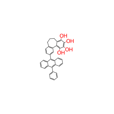 Oc1c(O)c(O)c2c(c1O)CCCc1ccc(-c3c4ccccc4c(-c4ccccc4)c4ccccc34)cc1-2